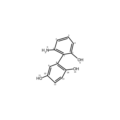 Nc1cccc(O)c1-c1cc(O)ccc1O